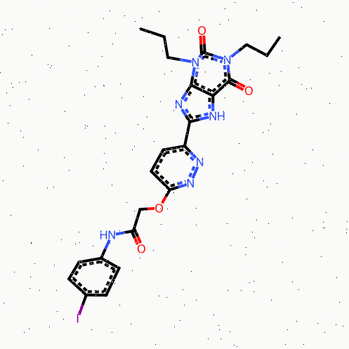 CCCn1c(=O)c2[nH]c(-c3ccc(OCC(=O)Nc4ccc(I)cc4)nn3)nc2n(CCC)c1=O